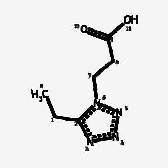 CCc1nnnn1CCC(=O)O